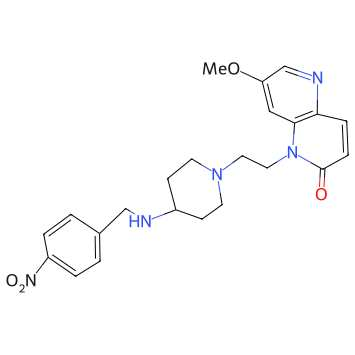 COc1cnc2ccc(=O)n(CCN3CCC(NCc4ccc([N+](=O)[O-])cc4)CC3)c2c1